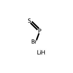 S=PBr.[LiH]